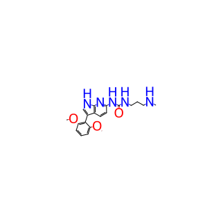 CNCCCNC(=O)Nc1ccc2c(-c3c(OC)cccc3OC)c[nH]c2n1